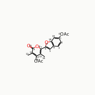 CC(=O)Oc1ccc2cc(-c3oc(=O)c(C)c(OC(C)=O)c3C)oc2c1